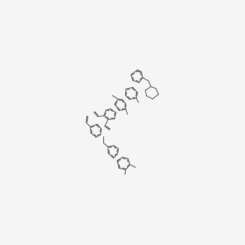 C=Cc1ccccc1.C=Cc1ccccc1C=C.CCc1ccccc1.Cc1ccc(C)cc1.Cc1ccccc1.Cc1ccccc1C.c1ccc(CC2CCCCC2)cc1